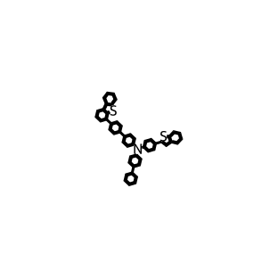 c1ccc(-c2ccc(N(c3ccc(-c4ccc(-c5cccc6c5sc5ccccc56)cc4)cc3)c3ccc(-c4cc5ccccc5s4)cc3)cc2)cc1